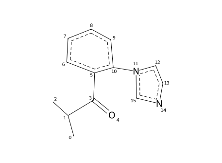 CC(C)C(=O)c1ccccc1-n1ccnc1